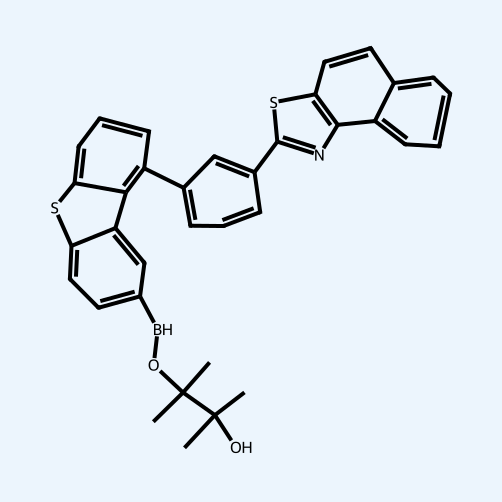 CC(C)(O)C(C)(C)OBc1ccc2sc3cccc(-c4cccc(-c5nc6c(ccc7ccccc76)s5)c4)c3c2c1